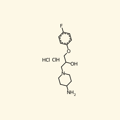 Cl.Cl.NC1CCN(CC(O)COc2ccc(F)cc2)CC1